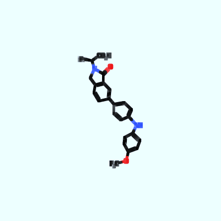 CC(C)[C@@H](C(=O)O)N1Cc2ccc(-c3ccc(Nc4ccc(OC(F)(F)F)cc4)cc3)cc2C1=O